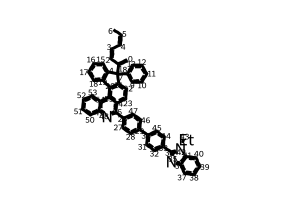 C=C(/C=C\C=C/C)C1(c2ccccc2)c2ccccc2-c2c1ccc1c(-c3ccc(-c4ccc(-c5nc6ccccc6n5CC)cc4)cc3)nc3ccccc3c21